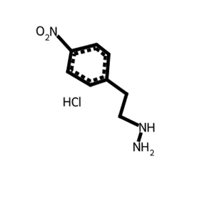 Cl.NNCCc1ccc([N+](=O)[O-])cc1